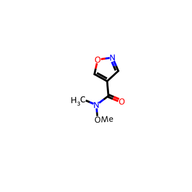 CON(C)C(=O)c1cnoc1